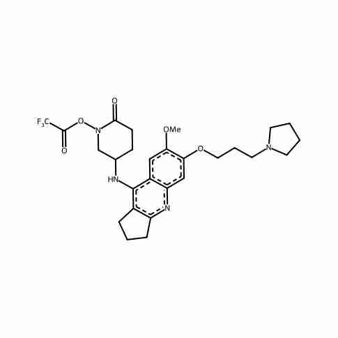 COc1cc2c(NC3CCC(=O)N(OC(=O)C(F)(F)F)C3)c3c(nc2cc1OCCCN1CCCC1)CCC3